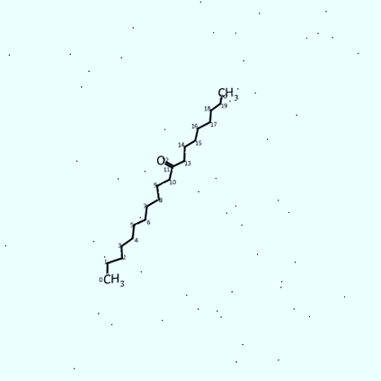 CCCCCCCCCCCC(=O)CCCCCCCC